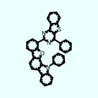 c1ccc(-c2nc(-c3cccc4c3oc3c4ccc4c5ccccc5n(-c5ccccc5)c43)nc3c2sc2ccccc23)cc1